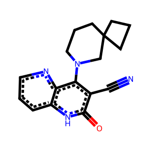 N#Cc1c(N2CCCC3(CCC3)C2)c2ncccc2[nH]c1=O